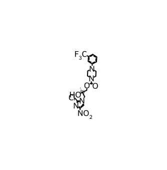 C[C@](O)(COC(=O)N1CCN(c2cccc(C(F)(F)F)c2)CC1)Cn1cc([N+](=O)[O-])nc1Cl